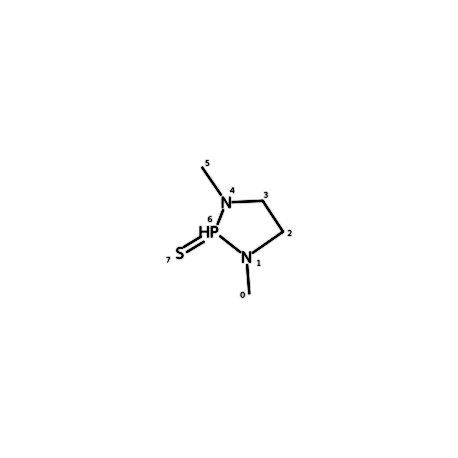 CN1CCN(C)[PH]1=S